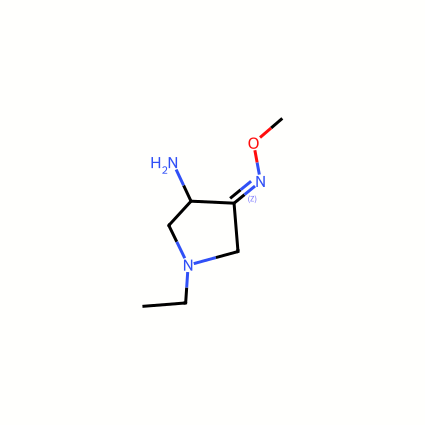 CCN1C/C(=N/OC)C(N)C1